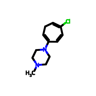 CN1CCN(C2=CCC=C(Cl)C=C2)CC1